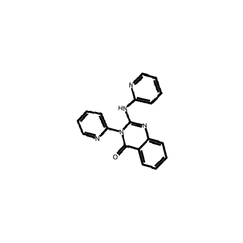 O=c1c2ccccc2nc(Nc2ccccn2)n1-c1ccccn1